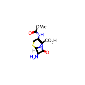 COC(=O)NC1=C(C(=O)O)N2C(=O)C(N)[C@@H]2SC1